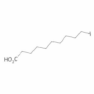 O=C(O)CCCCCCCCCI